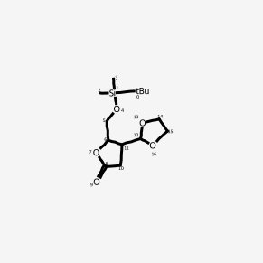 CC(C)(C)[Si](C)(C)OCC1OC(=O)CC1C1OCCO1